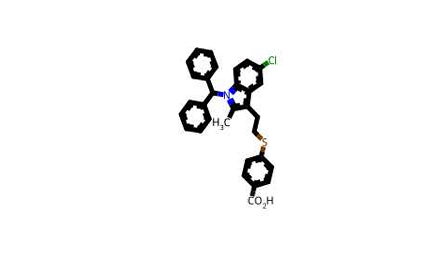 Cc1c(CCSc2ccc(C(=O)O)cc2)c2cc(Cl)ccc2n1C(c1ccccc1)c1ccccc1